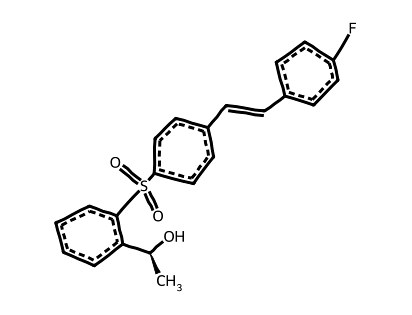 C[C@H](O)c1ccccc1S(=O)(=O)c1ccc(C=Cc2ccc(F)cc2)cc1